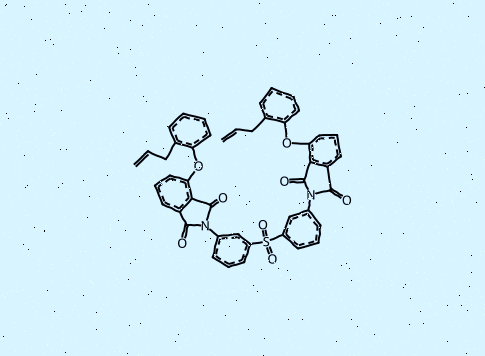 C=CCc1ccccc1Oc1cccc2c1C(=O)N(c1cccc(S(=O)(=O)c3cccc(N4C(=O)c5cccc(Oc6ccccc6CC=C)c5C4=O)c3)c1)C2=O